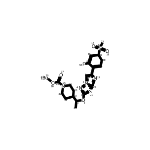 CC(Oc1nn2cc(C3=CCC(S(C)(=O)=O)C=C3F)nc2s1)C1CCN(C(=O)OC(C)(C)C)CC1